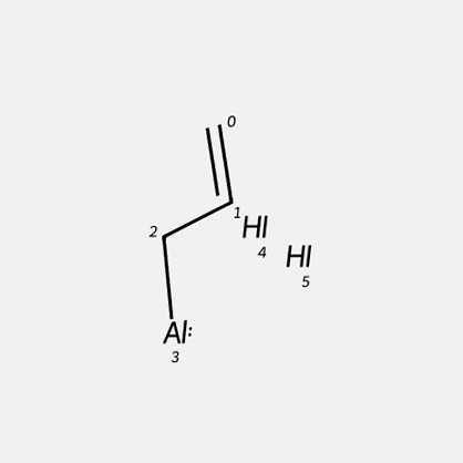 C=C[CH2][Al].I.I